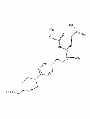 C[C@@H](OCc1ccc(N2CCC(CC(=O)O)CC2)cc1)[C@H](CCC(N)=O)NC(=O)OC(C)(C)C